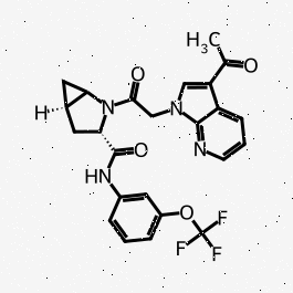 CC(=O)c1cn(CC(=O)N2C3C[C@@H]3C[C@H]2C(=O)Nc2cccc(OC(F)(F)F)c2)c2ncccc12